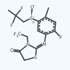 Cc1cc(F)c(N=C2SCC(=O)N2CC(F)(F)F)cc1[S@+]([O-])CC(C)(F)F